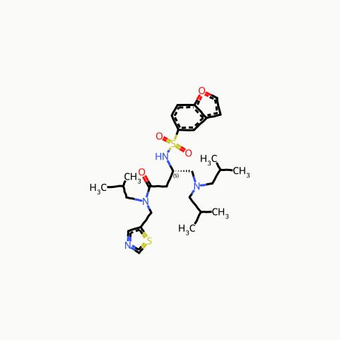 CC(C)CN(CC(C)C)C[C@H](CC(=O)N(Cc1cncs1)CC(C)C)NS(=O)(=O)c1ccc2occc2c1